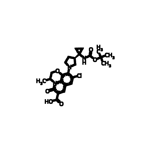 CC1COc2c(N3CC[C@@H](C4(NC(=O)OC(C)(C)C)CC4)C3)c(Cl)cc3cc(C(=O)O)c(=O)n1c23